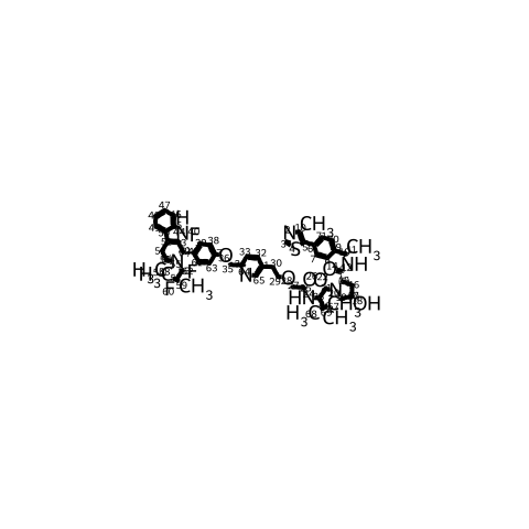 Cc1ncsc1-c1ccc(C(C)NC(=O)[C@@H]2C[C@@H](O)CN2C(=O)C(NC(=O)COCCc2ccc(COc3cc(F)c([C@@H]4c5[nH]c6ccccc6c5C[C@@H](C)N4CC(C)(C)F)c(F)c3)nc2)C(C)(C)C)cc1